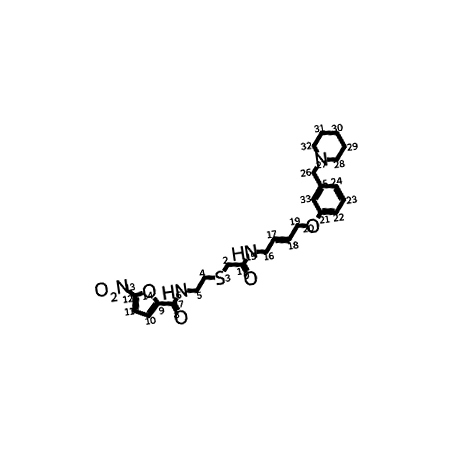 O=C(CSCCNC(=O)c1ccc([N+](=O)[O-])o1)NCC=CCOc1cccc(CN2CCCCC2)c1